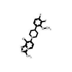 COc1c(C2CCN(c3ccn4c(C)nnc4c3Cl)CC2)ccc(F)c1F